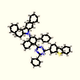 c1ccc(-c2nc(-c3ccc4c(c3)sc3ccccc34)nc(-c3c(-c4ccccc4)cc(-n4c5cc6ccccc6cc5c5c6ccccc6ccc54)c4ccccc34)n2)cc1